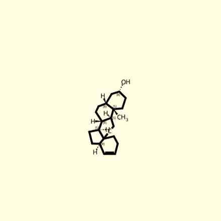 C[C@]12CC[C@@H](O)C[C@H]1CC[C@H]1[C@@H]3CC[C@@H]4C=CCCC43CC[C@@H]12